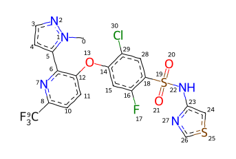 Cn1nccc1-c1nc(C(F)(F)F)ccc1Oc1cc(F)c(S(=O)(=O)Nc2cscn2)cc1Cl